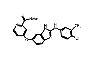 CNC(=O)c1cc(Oc2ccc3nc(Nc4ccc(Cl)c(C(F)(F)F)c4)[nH]c3c2)ccn1